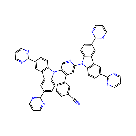 N#Cc1cccc(-c2cc(-n3c4ccc(-c5ncccn5)cc4c4cc(-c5ncccn5)ccc43)ncc2-n2c3ccc(-c4ncccn4)cc3c3cc(-c4ncccn4)ccc32)c1